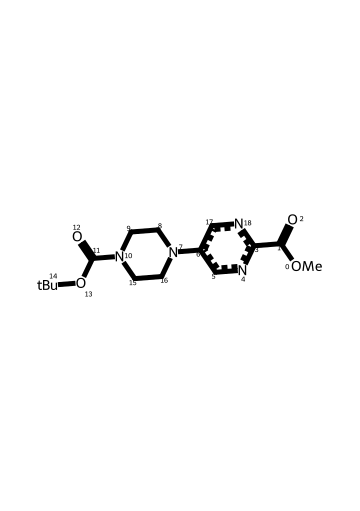 COC(=O)c1ncc(N2CCN(C(=O)OC(C)(C)C)CC2)cn1